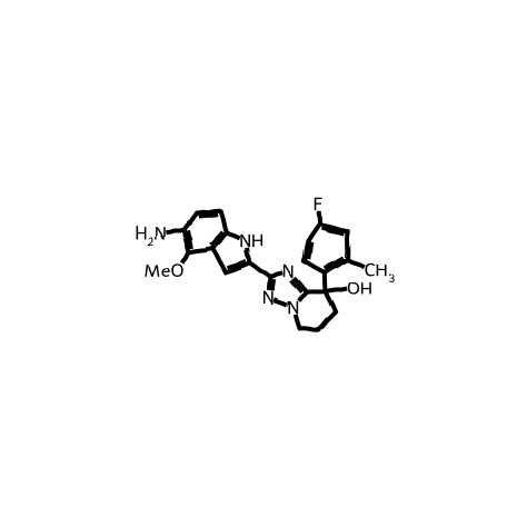 COc1c(N)ccc2[nH]c(-c3nc4n(n3)CCCC4(O)c3ccc(F)cc3C)cc12